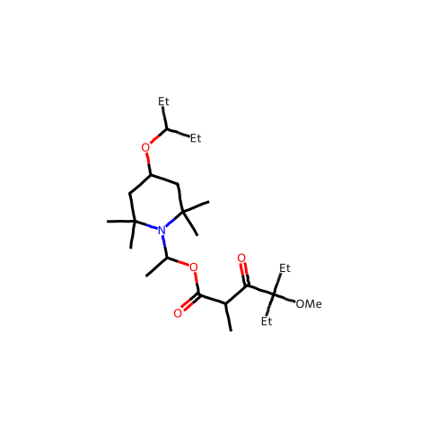 CCC(CC)OC1CC(C)(C)N(C(C)OC(=O)C(C)C(=O)C(CC)(CC)OC)C(C)(C)C1